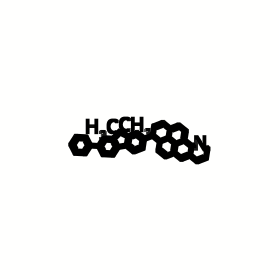 CC1(C)c2cc(-c3ccccc3)ccc2-c2ccc(C3C=CC4=CC=C5C6=C(C=CC3C46)C=C3C=CC=NC35)cc21